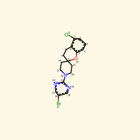 Clc1cccc2c1CCC1(CCN(c3ncc(Br)cn3)CC1)O2